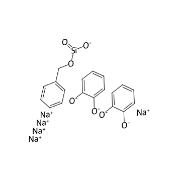 O=[Si]([O-])OCc1ccccc1.[Na+].[Na+].[Na+].[Na+].[Na+].[O-]c1ccccc1[O-].[O-]c1ccccc1[O-]